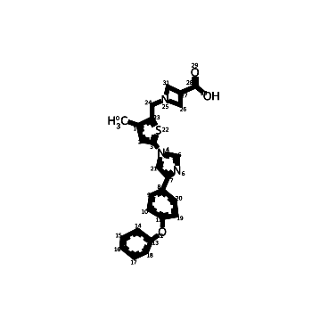 Cc1cc(-n2cnc(-c3ccc(Oc4ccccc4)cc3)c2)sc1CN1CC(C(=O)O)C1